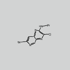 CC(C)Nc1nc2cc(Br)ncc2nc1Cl